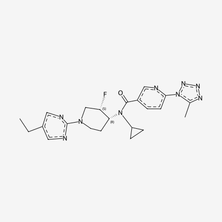 CCc1cnc(N2CC[C@@H](N(C(=O)c3ccc(-n4nnnc4C)nc3)C3CC3)[C@@H](F)C2)nc1